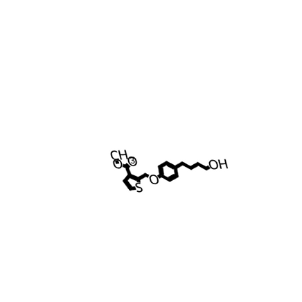 COC(=O)c1ccsc1COc1ccc(CCCCO)cc1